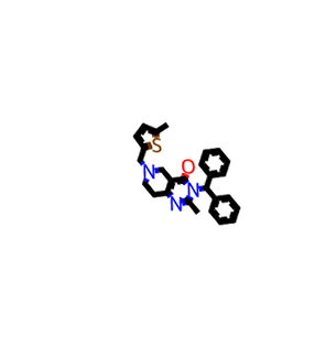 Cc1ccc(CN2CCc3nc(C)n(C(c4ccccc4)c4ccccc4)c(=O)c3C2)s1